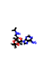 CC(C)NC[C@H]1O[C@@H](n2cnc3c(N)ncnc32)[C@H]2OC(C)(C)O[C@@H]21